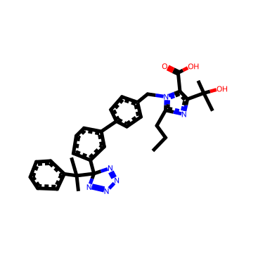 CCCc1nc(C(C)(C)O)c(C(=O)O)n1Cc1ccc(-c2cccc(C3(C(C)(C)c4ccccc4)N=NN=N3)c2)cc1